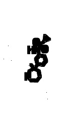 CC1(c2cccc(NS(=O)(=O)C3CC3)c2)C=CC=CN=C1